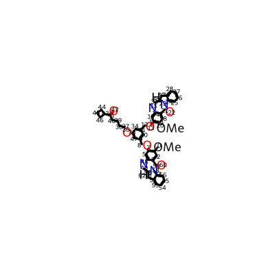 COc1cc2c(cc1OCc1cc(COc3cc4c(cc3OC)C(=O)N3c5ccccc5C[C@H]3C=N4)cc(OCCCCC(=O)C3CCC3)c1)N=C[C@@H]1Cc3ccccc3N1C2=O